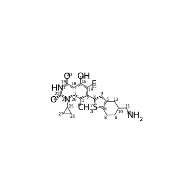 Cc1c(-c2cc3c(s2)CCC(CN)C3)c(F)c(O)c2c(=O)[nH]c(=O)n(C3CC3)c12